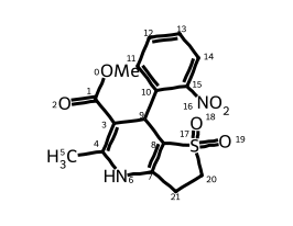 COC(=O)C1=C(C)NC2=C(C1c1ccccc1[N+](=O)[O-])S(=O)(=O)CC2